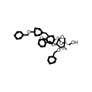 C[C@H]1[C@H](OCc2ccccc2)[C@@H](OCc2ccccc2)[C@@]2(c3ccc(Cl)c(Cc4ccc(OCc5ccccc5)cc4)c3)OC[C@]1(CO)O2